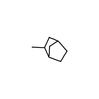 C[C]1CC2CCC1C2